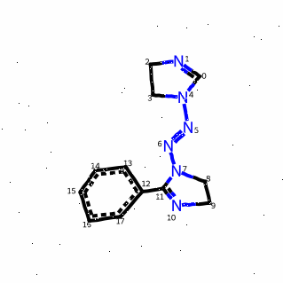 C1=NCCN1N=NN1CCN=C1c1ccccc1